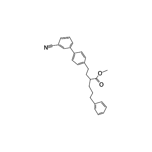 COC(=O)C(CCCc1ccccc1)CCc1ccc(-c2cccc(C#N)c2)cc1